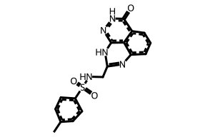 Cc1ccc(S(=O)(=O)NCC2=Nc3cccc4c(=O)[nH]nc(c34)N2)cc1